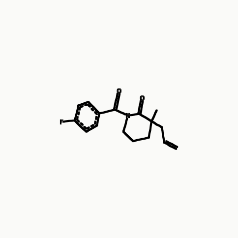 C=CCC1(C)CCCN(C(=O)c2ccc(F)cc2)C1=O